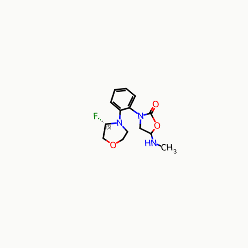 CNC1CN(c2ccccc2N2CCOC[C@@H]2F)C(=O)O1